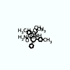 Cc1ccc(C2C[C@@H](c3ccccc3)C[C@@H](N(C(N)=O)c3cccc(C)c3)C(=O)N2NC(=O)CC(C)(C)C)cc1